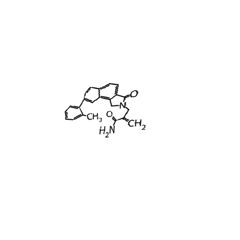 C=C(CN1Cc2c(ccc3ccc(-c4ccccc4C)cc23)C1=O)C(N)=O